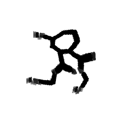 CCOC(=O)C1CCCC(C)CC1C(=O)OCC